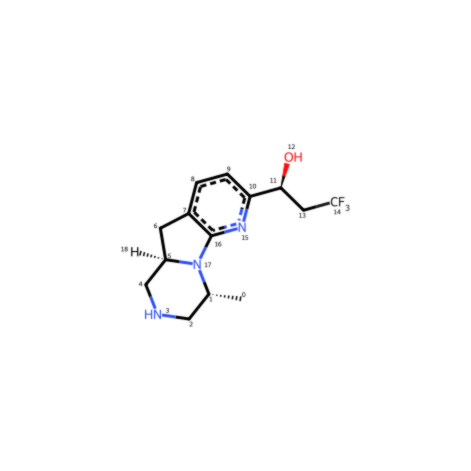 C[C@@H]1CNC[C@H]2Cc3ccc([C@@H](O)CC(F)(F)F)nc3N21